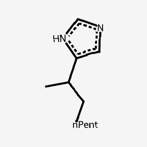 CCCCCCC(C)c1cnc[nH]1